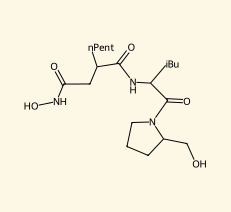 CCCCCC(CC(=O)NO)C(=O)NC(C(=O)N1CCCC1CO)C(C)CC